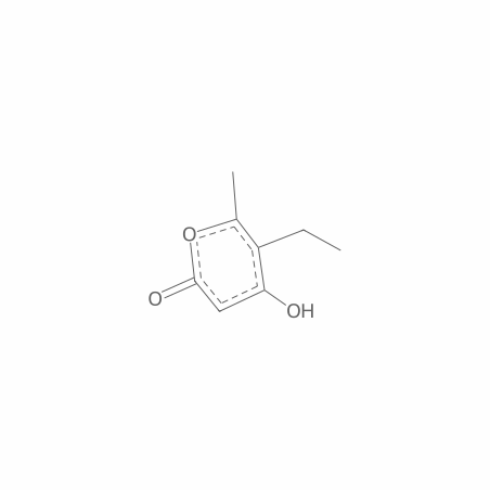 CCc1c(O)cc(=O)oc1C